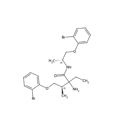 CCC(N)(C(=O)N[C@H](C)COc1ccccc1Br)[C@@H](C)COc1ccccc1Br